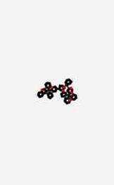 c1ccc(N(c2ccc(-c3ccc([Si](c4ccccc4)(c4ccccc4)c4ccc5ccccc5c4)cc3)cc2)c2ccc3c(c2)C(c2ccccc2)(c2ccccc2)c2ccccc2-3)cc1